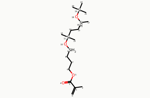 C=C(C)C(=O)OCCC[SiH2]O[Si](C)(C)CC[SiH](C)O[Si](C)(C)C